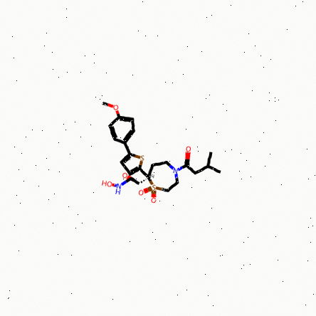 COc1ccc(-c2ccc([C@@]3(CC(=O)NO)CCN(C(=O)CC(C)C)CCS3(=O)=O)s2)cc1